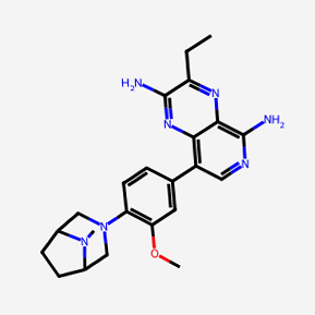 CCc1nc2c(N)ncc(-c3ccc(N4CC5CCC(C4)N5C)c(OC)c3)c2nc1N